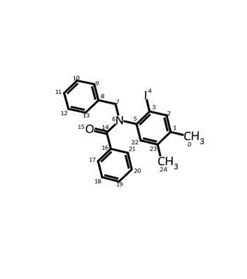 Cc1cc(I)c(N(Cc2ccccc2)C(=O)c2ccccc2)cc1C